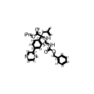 C=C(C)C[C@](NC(=S)NC(=O)OCc1ccccc1)(C(=O)OC(C)C)c1ccc(-c2cnccn2)cc1